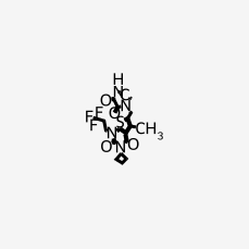 Cc1c(CN2CCNC(=O)C2=O)sc2c1c(=O)n(C1CCC1)c(=O)n2CCC(F)(F)F